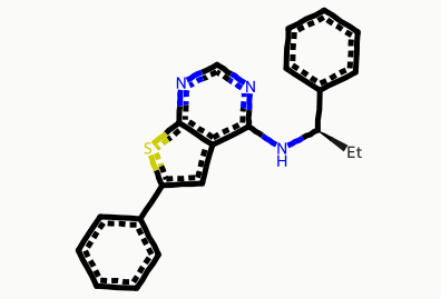 CC[C@@H](Nc1ncnc2sc(-c3ccccc3)cc12)c1ccccc1